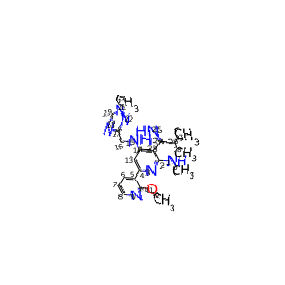 CNc1nc(-c2cccnc2OC)cc(NCc2ncn(C)n2)c1C(=N)C(C)C